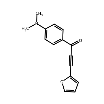 CN(C)c1ccc(C(=O)C#Cc2ccco2)cc1